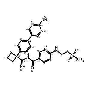 CS(=O)(=O)CCNc1ccc(C(=O)NC(=N)C2(c3ccc(-c4cnc(N)nc4)cc3)CCC2)cn1